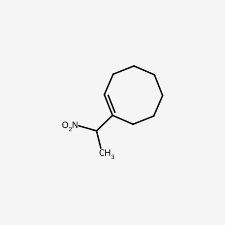 CC(C1=CCCCCCC1)[N+](=O)[O-]